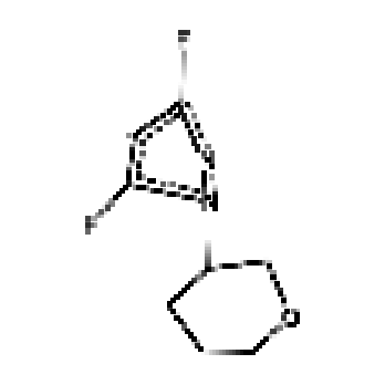 Fc1[c]c(F)n(C2CCCOC2)n1